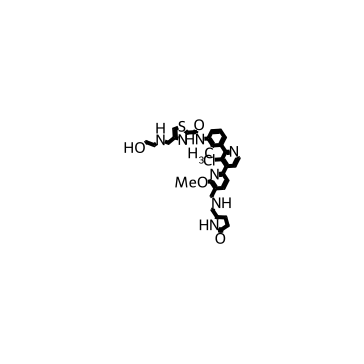 COc1nc(-c2ccnc(-c3cccc(NC(=O)c4nc(CNCCO)cs4)c3C)c2Cl)ccc1CNCC1CCC(=O)N1